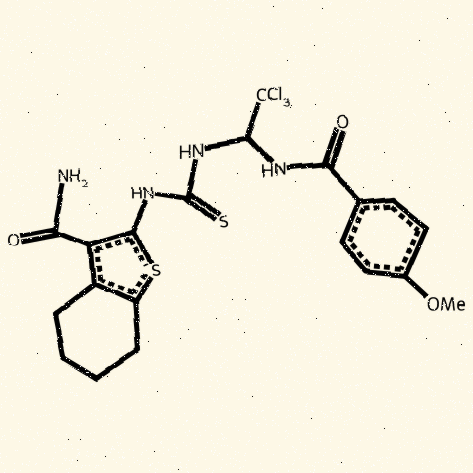 COc1ccc(C(=O)NC(NC(=S)Nc2sc3c(c2C(N)=O)CCCC3)C(Cl)(Cl)Cl)cc1